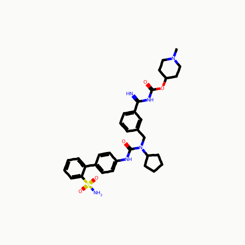 CN1CCC(OC(=O)NC(=N)c2cccc(CN(C(=O)Nc3ccc(-c4ccccc4S(N)(=O)=O)cc3)C3CCCC3)c2)CC1